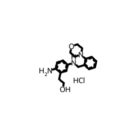 Cl.Nc1ccc(NCc2ccccc2N2CCOCC2)cc1CCO